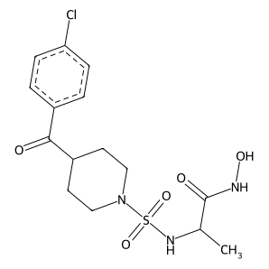 CC(NS(=O)(=O)N1CCC(C(=O)c2ccc(Cl)cc2)CC1)C(=O)NO